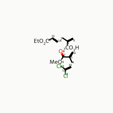 C=C(C)C(=O)O.C=C(C)C(=O)OC.C=C(Cl)Cl.C=CC(=O)OCC